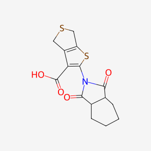 O=C(O)c1c(N2C(=O)C3CCCCC3C2=O)sc2c1CSC2